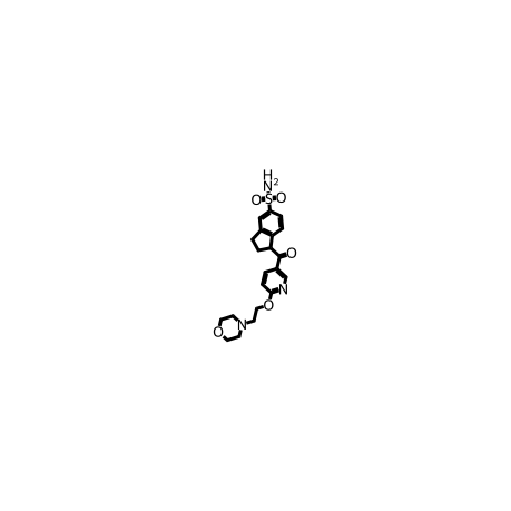 NS(=O)(=O)c1ccc2c(c1)CCC2C(=O)c1ccc(OCCN2CCOCC2)nc1